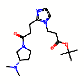 CN(C)[C@H]1CCN(C(=O)CCc2nccn2CCC(=O)OC(C)(C)C)C1